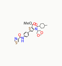 COC(=O)c1sc(-c2ccc(NC(=O)c3cscn3)cc2)cc1N(C(=O)C1CCC(C)CC1)C1COCOC1